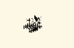 CC(=O)O.CC(=O)O.CC(=O)O.CC(=O)O.CC(=O)O.[Na].[Na].[Na].[Na].[Na]